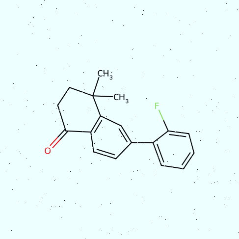 CC1(C)CCC(=O)c2ccc(-c3ccccc3F)cc21